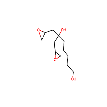 OCCCCCC(O)(CC1CO1)CC1CO1